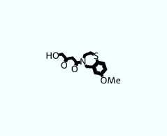 COc1ccc2c(c1)CN(C(=O)CC(=O)CO)CCS2